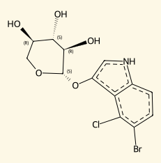 O[C@@H]1[C@@H](O)[C@H](Oc2c[nH]c3ccc(Br)c(Cl)c23)OC[C@H]1O